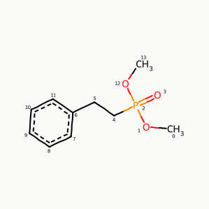 COP(=O)(CCc1ccccc1)OC